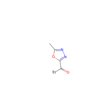 CCC(=O)c1nnc(C)o1